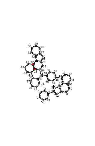 c1ccc(-c2nc3c(ccc4cccc(-c5ccc(N(c6ccc7c(c6)sc6ccccc67)c6ccccc6-c6ccccc6)cc5)c43)o2)cc1